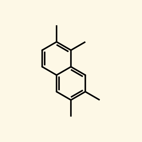 Cc1cc2ccc(C)c(C)c2cc1C